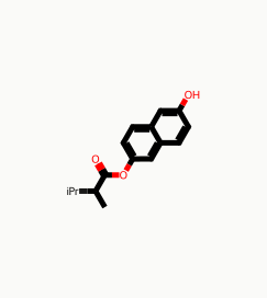 CC(C)C(C)C(=O)Oc1ccc2cc(O)ccc2c1